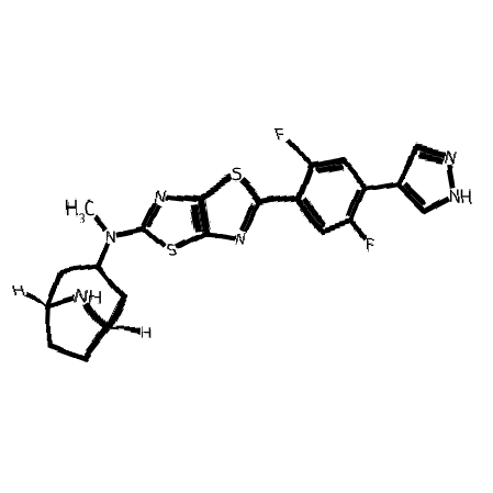 CN(c1nc2sc(-c3cc(F)c(-c4cn[nH]c4)cc3F)nc2s1)C1C[C@H]2CC[C@@H](C1)N2